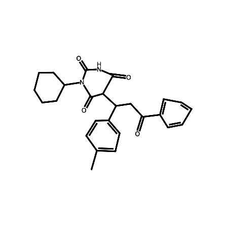 Cc1ccc(C(CC(=O)c2ccccc2)C2C(=O)NC(=O)N(C3CCCCC3)C2=O)cc1